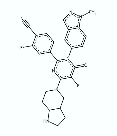 Cn1ncc2cc(-n3c(-c4ccc(C#N)c(F)c4)nc(N4CCC5NCCC5C4)c(F)c3=O)ccc21